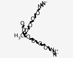 CC(COCC=O)(COCCOCCOCCOCCN=[N+]=[N-])COCCOCCOCCOCCN=[N+]=[N-]